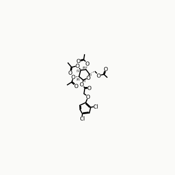 CC(=O)OC[C@@H]1O[C@H](OC(=O)COc2ccc(Cl)cc2Cl)[C@H](OC(C)=O)[C@@H](OC(C)=O)[C@@H]1OC(C)=O